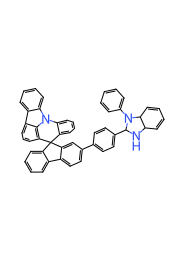 C1=CC2NC(c3ccc(-c4ccc5c(c4)C4(c6ccccc6-5)c5ccccc5-n5c6ccccc6c6cccc4c65)cc3)N(c3ccccc3)C2C=C1